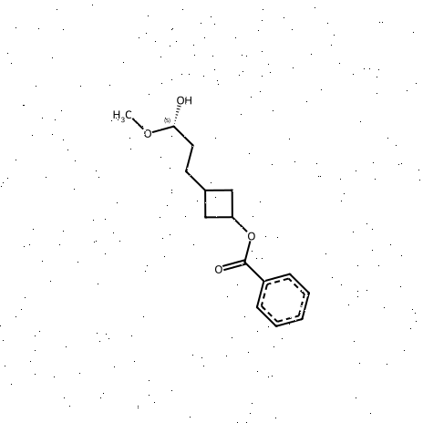 CO[C@H](O)CCC1CC(OC(=O)c2ccccc2)C1